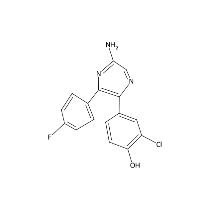 Nc1cnc(-c2ccc(O)c(Cl)c2)c(-c2ccc(F)cc2)n1